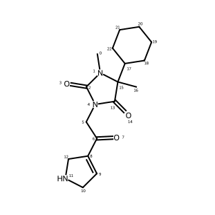 CN1C(=O)N(CC(=O)C2=CCNC2)C(=O)C1(C)C1CCCCC1